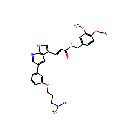 COc1ccc(CNC(=O)/C=C/c2c[nH]c3ncc(-c4cccc(OCCCN(C)C)c4)cc23)cc1OC